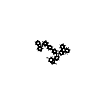 C[C@H]1CC2C[C@H](C)CC(c3cccc(N(c4ccc(-c5ccc(-c6cccc(-n7c8ccccc8c8ccccc87)c6)cc5)cc4)c4ccc5c6ccccc6c6ccccc6c5c4)c3)(C2)C1